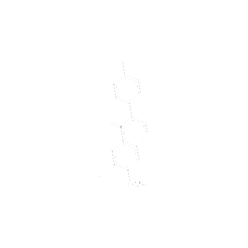 CCc1cc2c(=O)c(-c3ccc(C)cc3)coc2cc1OC